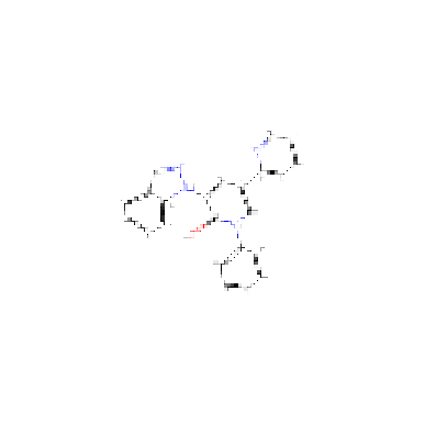 O=c1c(-n2ncc3ccccc32)cc(-c2ccccn2)cn1-c1ccccc1